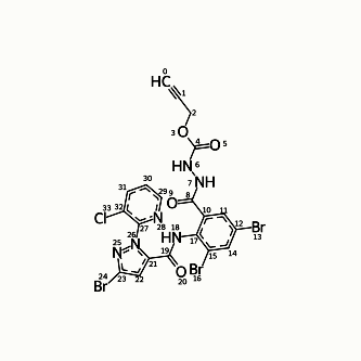 C#CCOC(=O)NNC(=O)c1cc(Br)cc(Br)c1NC(=O)c1cc(Br)nn1-c1ncccc1Cl